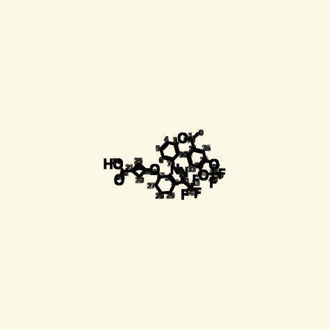 C[C@H](Oc1cccc(-n2nc(C(F)(F)F)c3c2C(OC24CC(C(=O)O)(C2)C4)CCC3)c1)c1ccc2c(c1)OC(F)(F)O2